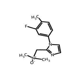 Cc1ccc(-n2ccnc2C[N+](C)(C)[O-])cc1F